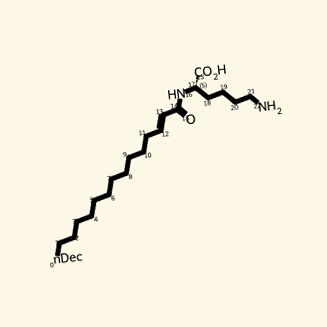 CCCCCCCCCCCCCCCCCCCCCC=CC(=O)N[C@@H](CCCCN)C(=O)O